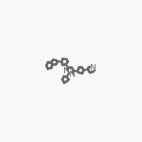 c1ccc(-c2nc(-c3ccc(-c4cccnc4)cc3)cc(-c3cccc(-c4ccc5ccccc5c4)c3)n2)cc1